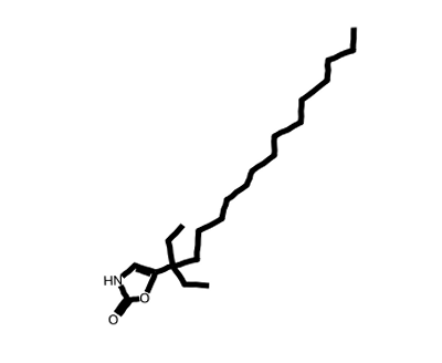 CCCCCCCCCCCCCCC(CC)(CC)c1c[nH]c(=O)o1